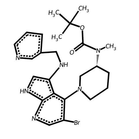 CN(C(=O)OC(C)(C)C)[C@@H]1CCCN(c2c(Br)cnc3[nH]cc(NCc4cccnc4)c23)C1